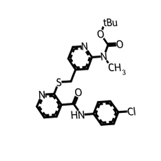 CN(C(=O)OC(C)(C)C)c1cc(CSc2ncccc2C(=O)Nc2ccc(Cl)cc2)ccn1